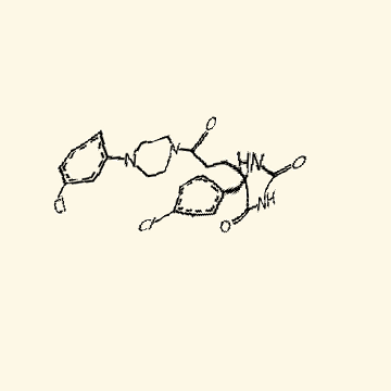 O=C1NC(=O)C(CCC(=O)N2CCN(c3cccc(Cl)c3)CC2)(c2ccc(Cl)cc2)N1